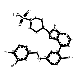 CS(=O)(=O)N1CCC(c2cc3c(-c4cc(NCc5ccc(F)c(F)c5)ccc4F)ccnc3[nH]2)CC1